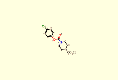 CCOC(=O)C1CCN(C(=O)Oc2ccc(Cl)cc2)CC1